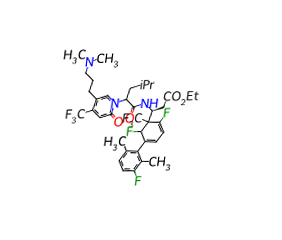 CCOC(=O)C[C@H](NC(=O)C(CC(C)C)n1cc(CCCN(C)C)c(C(F)(F)F)cc1=O)C1(C(F)(F)F)C(F)=CC=C(c2c(C)ccc(F)c2C)C1F